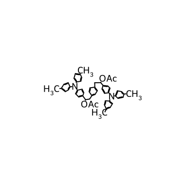 CC(=O)OC(Cc1ccc(CC(OC(C)=O)c2ccc(N(c3ccc(C)cc3)c3ccc(C)cc3)cc2)cc1)c1ccc(N(c2ccc(C)cc2)c2ccc(C)cc2)cc1